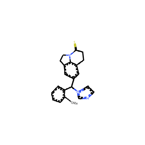 COc1ccccc1C(c1cc2c3c(c1)CCN3C(=S)CC2)n1ccnc1